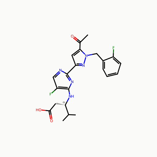 CC(=O)c1cc(-c2ncc(F)c(N[C@@H](CC(=O)O)C(C)C)n2)nn1Cc1ccccc1F